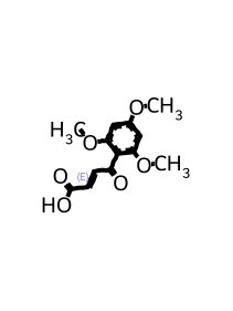 COc1cc(OC)c(C(=O)/C=C/C(=O)O)c(OC)c1